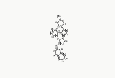 Fc1ccc(-c2ncn(C3CCN(Cc4ccc5nccnc5c4)C3)c2-c2ccncn2)cc1